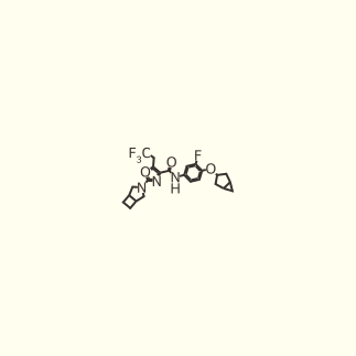 O=C(Nc1ccc(OC2CC3CC3C2)c(F)c1)c1nc(N2CC3CCC3C2)oc1CC(F)(F)F